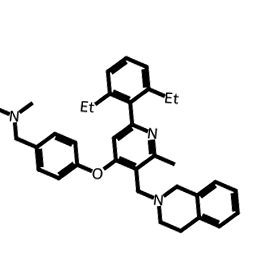 CCc1cccc(CC)c1-c1cc(Oc2ccc(CN(C)C)cc2)c(CN2CCc3ccccc3C2)c(C)n1